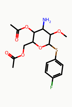 COC1C(Sc2ccc(F)cc2)OC(COC(C)=O)C(OC(C)=O)C1N